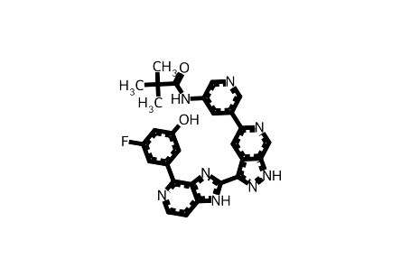 CC(C)(C)C(=O)Nc1cncc(-c2cc3c(-c4nc5c(-c6cc(O)cc(F)c6)nccc5[nH]4)n[nH]c3cn2)c1